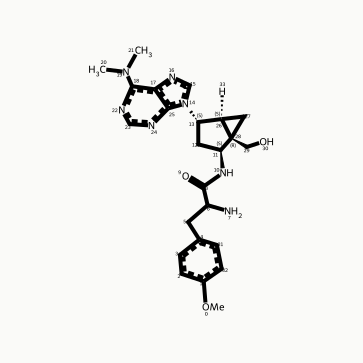 COc1ccc(CC(N)C(=O)N[C@H]2C[C@H](n3cnc4c(N(C)C)ncnc43)[C@H]3C[C@]23CO)cc1